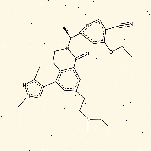 CCOc1cc([C@H](C)N2CCc3c(cc(CCN(C)CC)cc3-c3cn(C)nc3C)C2=O)ncc1C#N